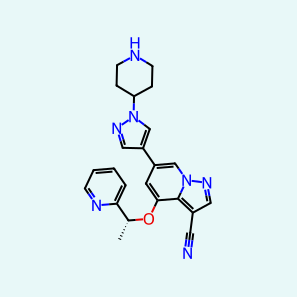 C[C@@H](Oc1cc(-c2cnn(C3CCNCC3)c2)cn2ncc(C#N)c12)c1ccccn1